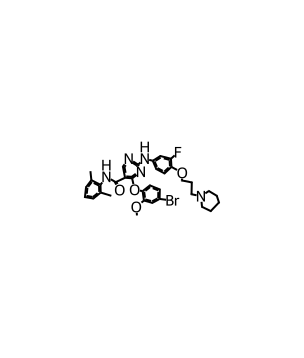 COc1cc(Br)ccc1Oc1nc(Nc2ccc(OCCCN3CCCCC3)c(F)c2)ncc1C(=O)Nc1c(C)cccc1C